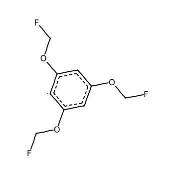 FCOc1[c]c(OCF)cc(OCF)c1